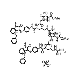 CCCC[C@@H](NC(=O)OC)C(=O)NCC(=O)N[C@@H](CCCNC(=N)N)C(=O)Nc1ccc(N=C2C(=O)Nc3ccc[n+](Cc4ccccc4)c32)cc1.CCCC[C@@H](NC(=O)OC)C(=O)NCC(=O)N[C@@H](CCCNC(=N)N)C(=O)Nc1ccc(N=C2C(=O)Nc3ccc[n+](Cc4ccccc4)c32)cc1.O=S(=O)([O-])[O-]